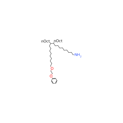 CCCCCCCCC(CCCCCCCCCN)C(CCCCCCCC)CCCCCCCCCOCCOc1ccccc1